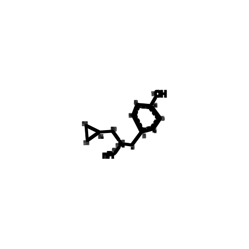 CCCN(Cc1ccc(O)cc1)CC1CC1